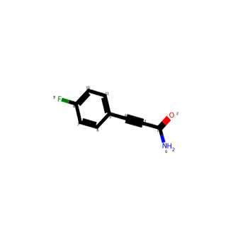 NC(=O)C#Cc1ccc(F)cc1